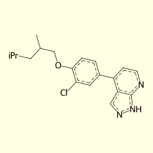 CC(C)CC(C)COc1ccc(-c2ccnc3[nH]ncc23)cc1Cl